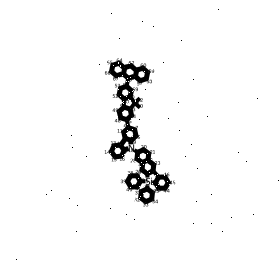 CC1(C)c2cc(-c3ccc4c(c3)c3ccccc3n4-c3ccc4cc5c(cc4c3)[Si](c3ccccc3)(c3ccccc3)c3ccccc3-5)ccc2-c2ccc(-c3c4ccccc4cc4ccccc34)cc21